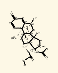 COC(=O)O[C@@]1(OC(C)=O)[C@@H](C)C[C@H]2[C@@H]3C[C@H](F)C4=CC(=O)C=C[C@]4(C)[C@@]3(Cl)[C@@H](O)C[C@@]21C